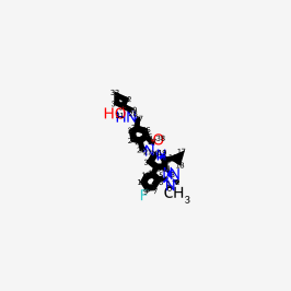 Cn1cnnc1-c1cc(F)ccc1-c1cc(C2CC2)nc(N2Cc3ccc(CNCC4(O)CCC4)cc3C2=O)c1